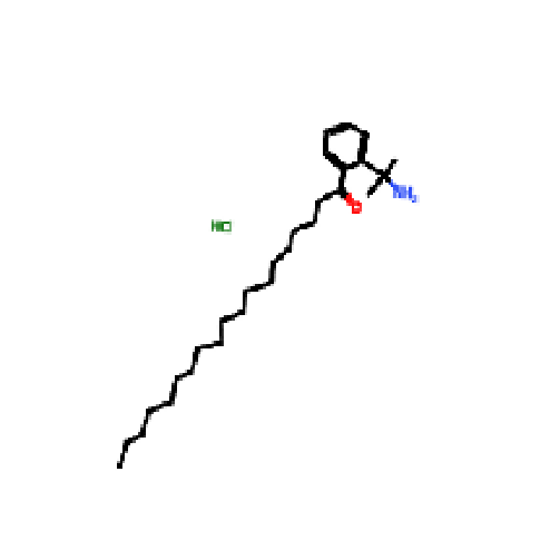 CCCCCCCCCCCCCCCCCCC(=O)c1ccccc1C(C)(C)N.Cl